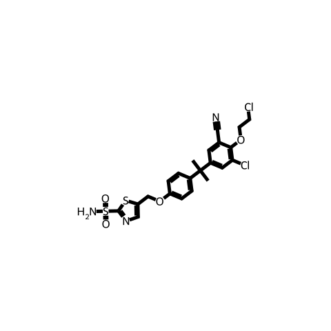 CC(C)(c1ccc(OCc2cnc(S(N)(=O)=O)s2)cc1)c1cc(Cl)c(OCCCl)c(C#N)c1